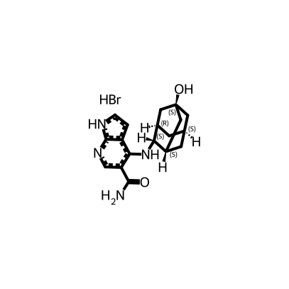 Br.NC(=O)c1cnc2[nH]ccc2c1N[C@@H]1[C@@H]2C[C@@H]3C[C@H]1C[C@@](O)(C3)C2